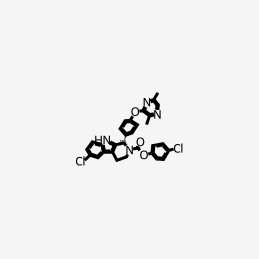 Cc1cnc(C)c(Oc2ccc([C@H]3c4[nH]c5ccc(Cl)cc5c4CCN3C(=O)Oc3ccc(Cl)cc3)cc2)n1